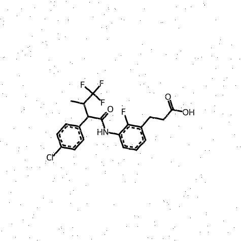 CC(C(C(=O)Nc1cccc(CCC(=O)O)c1F)c1ccc(Cl)cc1)C(F)(F)F